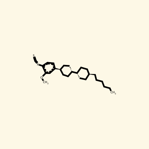 CCCCCC[C@H]1CC[C@H]([C@H]2CC[C@H](c3ccc(N=C=S)c(OC)c3)CC2)CC1